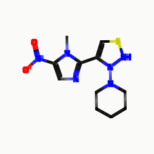 Cn1c([N+](=O)[O-])cnc1C1=CSNN1N1CCCCC1